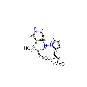 COC=Cc1cccn1N(C)c1ccncc1.O=C(O)C=CC(=O)O